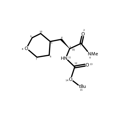 CNC(=O)[C@H](CC1CCOCC1)NC(=O)OC(C)(C)C